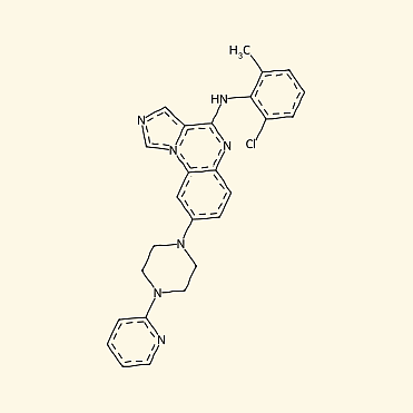 Cc1cccc(Cl)c1Nc1nc2ccc(N3CCN(c4ccccn4)CC3)cc2n2cncc12